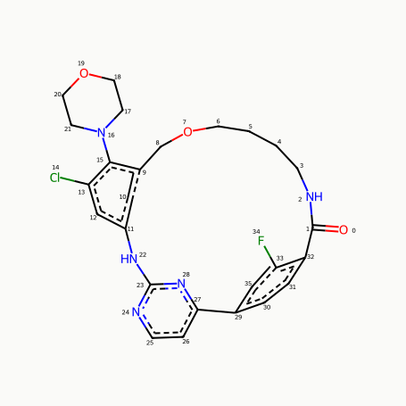 O=C1NCCCCOCc2cc(cc(Cl)c2N2CCOCC2)Nc2nccc(n2)-c2ccc1c(F)c2